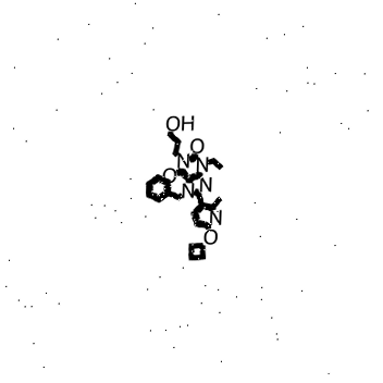 CCn1c(=O)n(CCCO)c(=O)c2c1nc(-c1ccc(OC3CCC3)nc1C)n2Cc1ccccc1